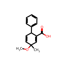 COC1(C)C=CC(c2ccccc2)C(C(=O)O)=C1